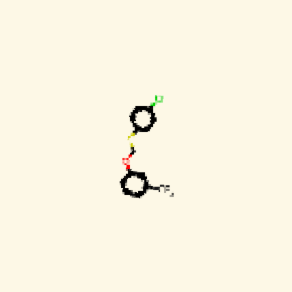 FC(F)(F)c1cccc(OCSc2ccc(Cl)cc2)c1